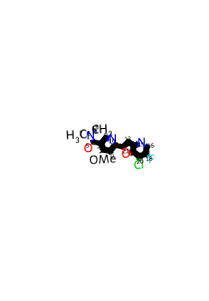 COc1cc(C(=O)N(C)C)cnc1-c1cc2ncc(F)c(Cl)c2o1